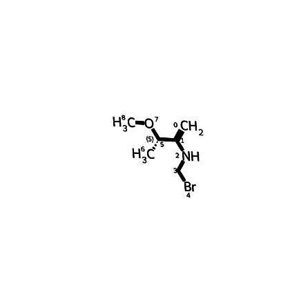 C=C(NCBr)[C@H](C)OC